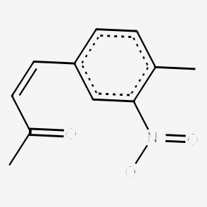 CC(=O)/C=C\c1ccc(C)c([N+](=O)[O-])c1